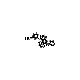 C#Cc1cccc(Nc2ncnc3cc(OC4CCOC4)c4c(c23)OCCO4)c1